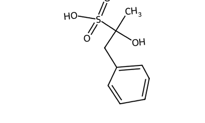 CC(O)(Cc1ccccc1)S(=O)(=O)O